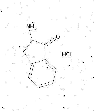 Cl.NC1Cc2ccccc2C1=O